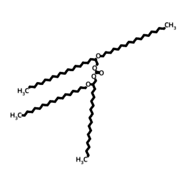 CCCCCCCCCCCCCCCCCCOC(CCCCCCCCCCCCCCCCCC)COC(=O)OCC(CCCCCCCCCCCCCCCCCC)OCCCCCCCCCCCCCCCCCC